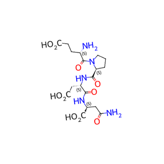 NC(=O)C[C@H](NC(=O)[C@H](CC(=O)O)NC(=O)[C@@H]1CCCN1C(=O)[C@@H](N)CCC(=O)O)C(=O)O